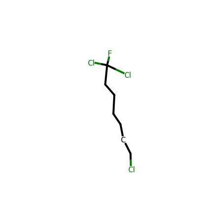 FC(Cl)(Cl)CCCCCCCl